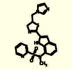 CN(c1cccc2cc(C3=NCC(Cn4ccnc4)S3)[nH]c12)S(=O)(=O)c1ccccn1